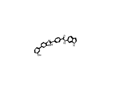 O=C(Nc1ccc2cc[nH]c2c1)c1ccc(-c2nc3ccc(-c4cccc(O)c4)cc3[nH]2)cc1